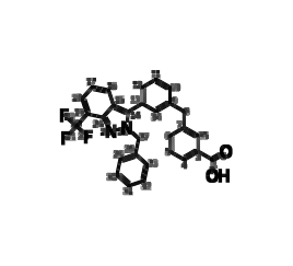 O=C(O)c1cccc(Cc2cccc(-c3c4cccc(C(F)(F)F)c4nn3Cc3ccccc3)c2)c1